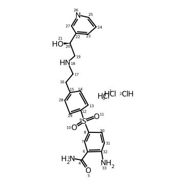 Cl.Cl.Cl.NC(=O)c1cc(S(=O)(=O)c2ccc(CCNC[C@@H](O)c3cccnc3)cc2)ccc1N